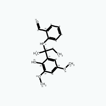 CCC(C)(Pc1ccccc1C=O)c1cc(OC)cc(OC)c1O